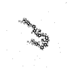 C[C@H](C#N)NC(=O)c1cc(Cl)c(COc2cccc(-c3cc(F)c(Cc4nc5ccc(C(=O)OC(=O)c6ccc7nc(Cc8cc(F)c(-c9cccc(OCc%10cnc(C(=O)N[C@H](C)C#N)cc%10Cl)n9)cc8F)n(C[C@@H]8CCO8)c7c6)cc5n4C[C@@H]4CCO4)cc3F)n2)cn1